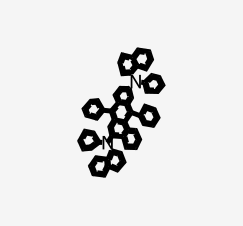 c1ccc(-c2c3ccc(N(c4ccccc4)c4cccc5ccccc45)cc3c(-c3ccccc3)c3c2cc(N(c2ccccc2)c2cccc4ccccc24)c2ccccc23)cc1